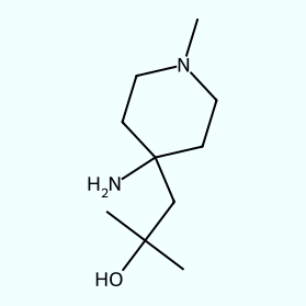 CN1CCC(N)(CC(C)(C)O)CC1